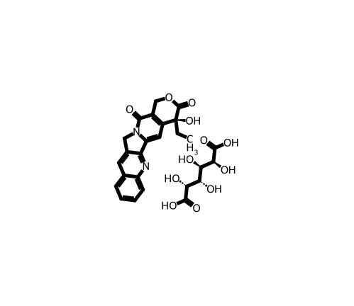 CC[C@@]1(O)C(=O)OCc2c1cc1n(c2=O)Cc2cc3ccccc3nc2-1.O=C(O)[C@@H](O)[C@H](O)[C@H](O)[C@@H](O)C(=O)O